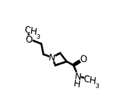 CNC(=O)C1CN(CCOC)C1